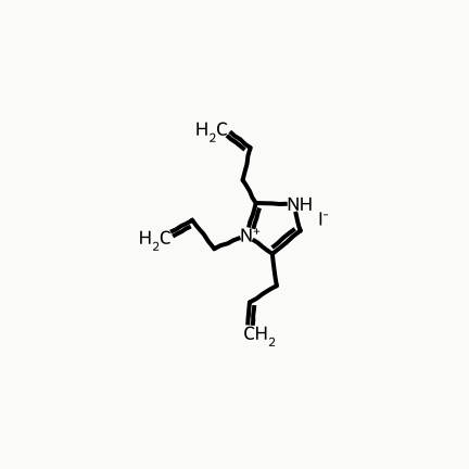 C=CCc1c[nH]c(CC=C)[n+]1CC=C.[I-]